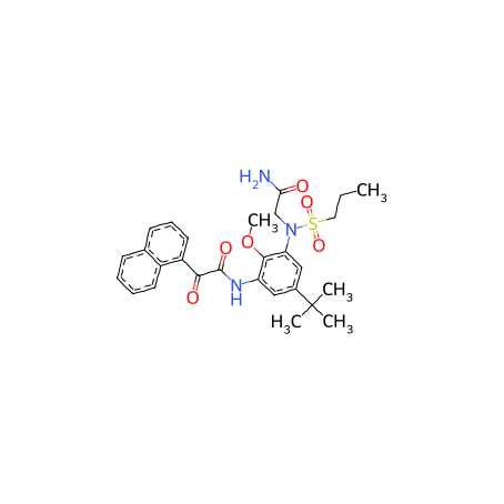 CCCS(=O)(=O)N(CC(N)=O)c1cc(C(C)(C)C)cc(NC(=O)C(=O)c2cccc3ccccc23)c1OC